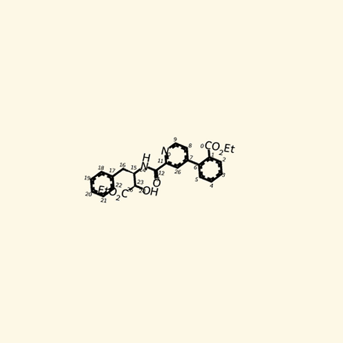 CCOC(=O)c1ccccc1-c1ccnc(C(=O)N[C@H](Cc2ccccc2)[C@@H](O)C(=O)OCC)c1